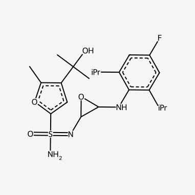 Cc1oc(S(N)(=O)=NC2OC2Nc2c(C(C)C)cc(F)cc2C(C)C)cc1C(C)(C)O